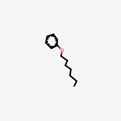 [CH2]CCCCCCOc1c[c]ccc1